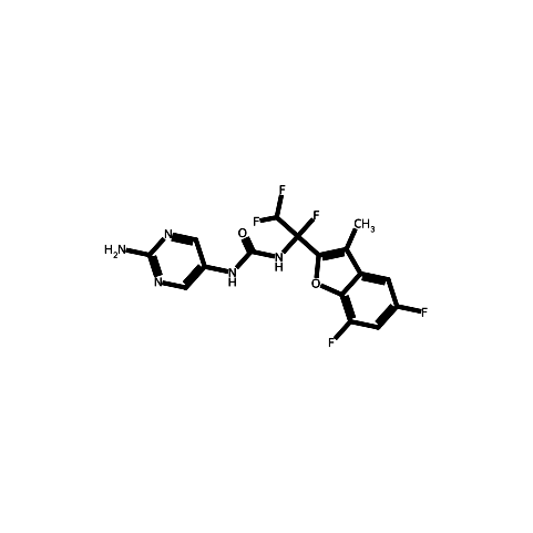 Cc1c(C(F)(NC(=O)Nc2cnc(N)nc2)C(F)F)oc2c(F)cc(F)cc12